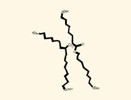 CCCCCCCCCCCCCCCCCCC(CCCCCCCCCCCCCCCC)C(=O)O.CCCCCCCCCCCCCCCCCCOC(=O)CCCCCCCCCCCCCCCCC